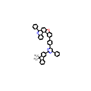 CC1(C)c2ccccc2-c2cc(-c3nc(-c4ccccc4)cc(-c4ccc(-c5ccc6oc7ccc8c(-c9ccccc9)nc9ccccc9c8c7c6c5)cc4)n3)ccc21